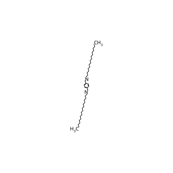 CCCCCCCCCCCCCCCCCCN=Cc1ccc(C=NCCCCCCCCCCCCCCCCCC)cc1